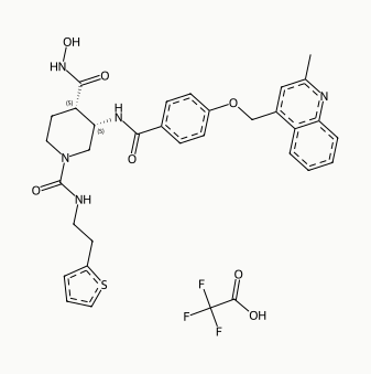 Cc1cc(COc2ccc(C(=O)N[C@@H]3CN(C(=O)NCCc4cccs4)CC[C@@H]3C(=O)NO)cc2)c2ccccc2n1.O=C(O)C(F)(F)F